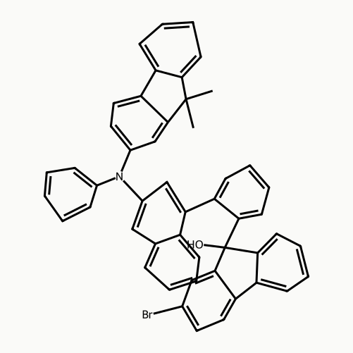 CC1(C)c2ccccc2-c2ccc(N(c3ccccc3)c3cc(-c4ccccc4C4(O)c5ccccc5-c5ccc(Br)cc54)c4ccccc4c3)cc21